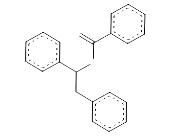 S=C(SC(Cc1ccccc1)c1ccccc1)c1ccccc1